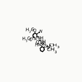 COc1cc(OC)c(C#N)c(NC(=O)NS(=N)(=O)c2ccccc2SN(C)C)n1